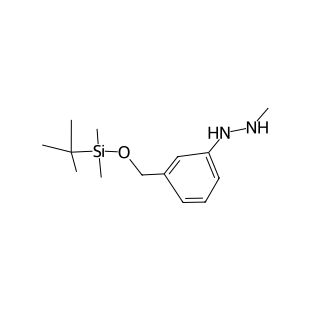 CNNc1cccc(CO[Si](C)(C)C(C)(C)C)c1